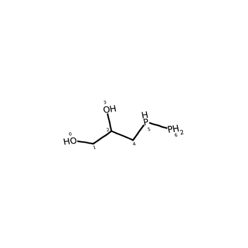 OCC(O)CPP